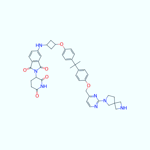 CC(C)(c1ccc(OCc2ccnc(N3CCC4(CNC4)C3)n2)cc1)c1ccc(OC2CC(Nc3ccc4c(c3)C(=O)N(C3CCC(=O)NC3=O)C4=O)C2)cc1